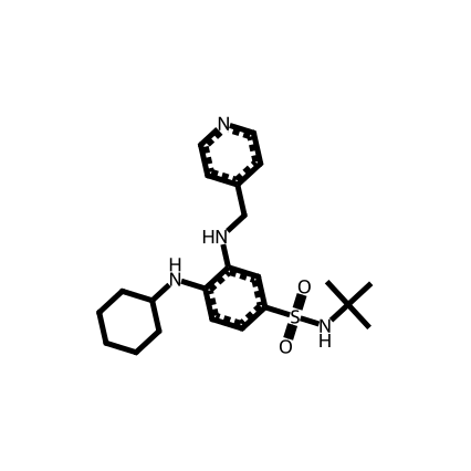 CC(C)(C)NS(=O)(=O)c1ccc(NC2CCCCC2)c(NCc2ccncc2)c1